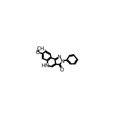 COc1ccc2c3nn(-c4ccccc4)c(=O)c-3c[nH]c2c1